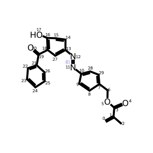 C=C(C)C(=O)OCc1ccc(/N=N/c2ccc(O)c(C(=O)c3ccccc3)c2)cc1